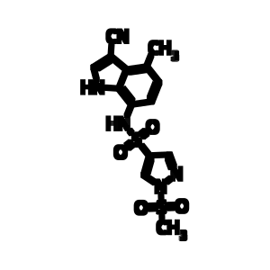 Cc1ccc(NS(=O)(=O)c2cnn(S(C)(=O)=O)c2)c2[nH]cc(C#N)c12